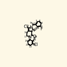 C[C@@H](c1cccc(F)c1F)n1nc2c(c1Cl)CCN(c1cccc(Cl)c1F)C2=O